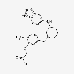 Cc1ccc(CN2CCCC(Nc3ccc4[nH]ncc4c3)C2)cc1OCC(=O)O